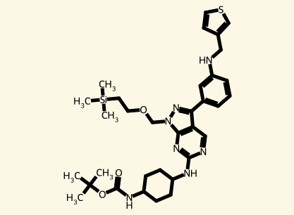 CC(C)(C)OC(=O)NC1CCC(Nc2ncc3c(-c4cccc(NCc5ccsc5)c4)nn(COCC[Si](C)(C)C)c3n2)CC1